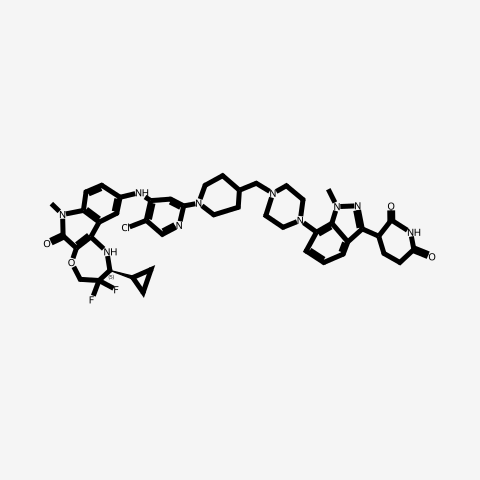 Cn1nc(C2CCC(=O)NC2=O)c2cccc(N3CCN(CC4CCN(c5cc(Nc6ccc7c(c6)c6c(c(=O)n7C)OCC(F)(F)[C@H](C7CC7)N6)c(Cl)cn5)CC4)CC3)c21